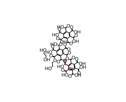 O=C(O)c1c(C(=O)O)c(C(=O)O)c(C(=O)OC(=O)c2c(C(=O)O)c(C(=O)O)c(C(=O)OCCO)c(C(=O)OCCO)c2C(=O)OC(=O)c2c(C(=O)O)c(C(=O)O)c(C(=O)O)c(C(=O)O)c2C(=O)O)c(C(=O)O)c1C(=O)O.OCCO